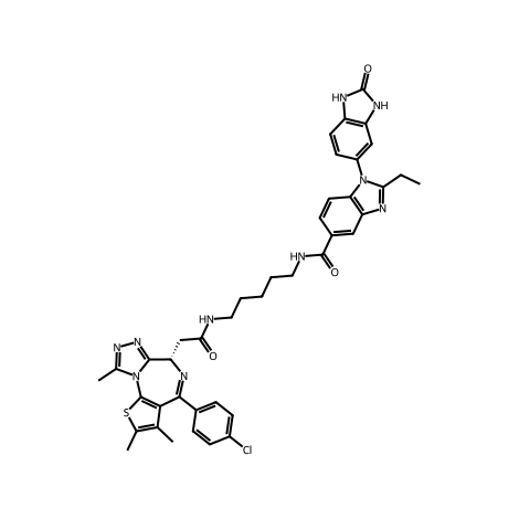 CCc1nc2cc(C(=O)NCCCCCNC(=O)C[C@@H]3N=C(c4ccc(Cl)cc4)c4c(sc(C)c4C)-n4c(C)nnc43)ccc2n1-c1ccc2[nH]c(=O)[nH]c2c1